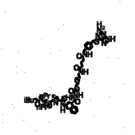 CCCO[C@H](CC(C(C)C)N(CCC)C(=O)C[C@@H](C)CC)c1nc(C(=O)N[C@H]2Cc3ccccc3[C@H](C(=O)NNC(=O)OCCOCCNC(=O)CCCC(=O)NCc3ccc(COc4nc(N)nc5[nH]cnc45)cc3)C2)cs1